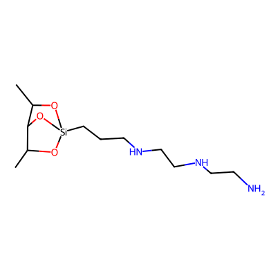 CC1O[Si]2(CCCNCCNCCN)OC(C)C1O2